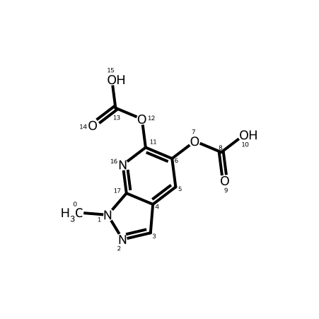 Cn1ncc2cc(OC(=O)O)c(OC(=O)O)nc21